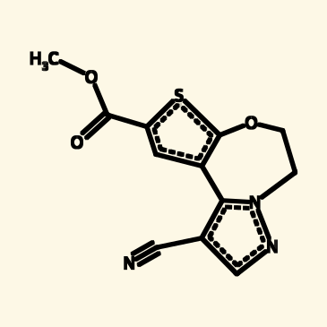 COC(=O)c1cc2c(s1)OCCn1ncc(C#N)c1-2